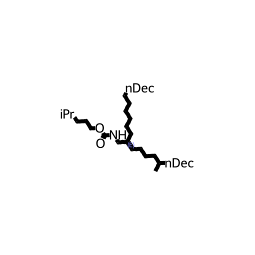 CCCCCCCCCCCCCCCC/C(=C\CCCC(C)CCCCCCCCCC)CNC(=O)OCCCC(C)C